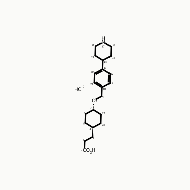 Cl.O=C(O)CC[C@H]1CC[C@H](OCc2ccc(C3CCNCC3)cc2)CC1